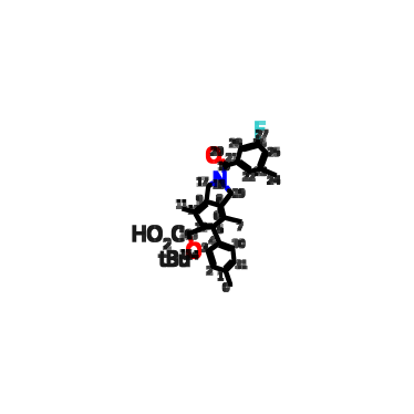 Cc1ccc(-c2c(C)c3c(c(C)c2[C@H](OC(C)(C)C)C(=O)O)CN(C(=O)c2cc(C)cc(F)c2)C3)cc1